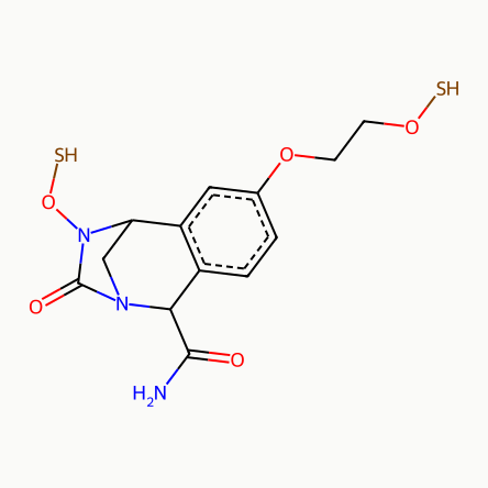 NC(=O)C1c2ccc(OCCOS)cc2C2CN1C(=O)N2OS